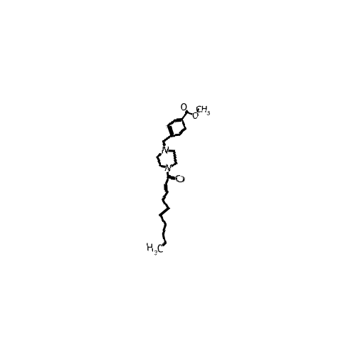 CCCCCCCC=CC(=O)N1CCN(Cc2ccc(C(=O)OC)cc2)CC1